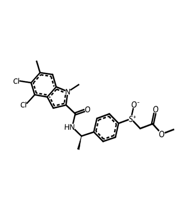 COC(=O)C[S+]([O-])c1ccc([C@@H](C)NC(=O)c2cc3c(Cl)c(Cl)c(C)cc3n2C)cc1